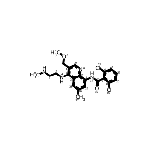 CNCCNc1c(COC)cnc2c(NC(=O)c3c(Cl)cccc3Cl)cc(C)cc12